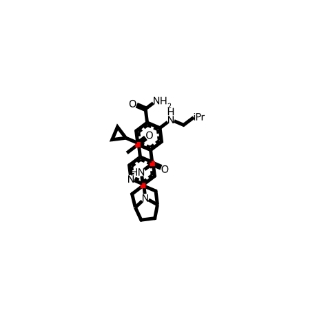 Cc1cc(C(N)=O)c(NCC(C)C)cc1C(=O)NC1CC2CCC(C1)N2c1ccc(C(=O)C2CC2)cn1